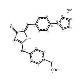 O=C([O-])Cc1ccc(NC2=NC(=O)C(=Cc3ccc(-n4cccc4)cc3)S2)cc1.[Na+]